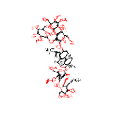 C=C1C[C@@]23CCC4[C@](C)(C(=O)OC5OC(CO)C(O)C(O)C5OC5OC(CO)C(O)C(O)C5NC(C)=O)CCC[C@@]4(C)[C@@H]2CCC1(OC1OC(CO)C(O)C(OC2OC(CO)C(O)C(O)C2O)C1OC1OC(CO)C(O)C(O)C1O)C3